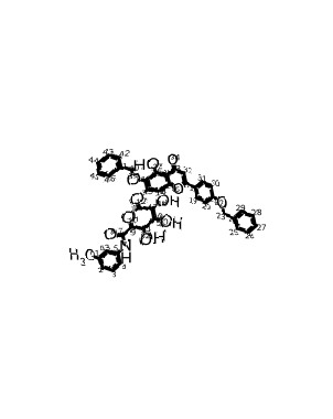 Cc1cccc(NC(=O)C2OC(Oc3cc4oc(-c5ccc(OCc6ccccc6)cc5)cc(=O)c4c(O)c3OCc3ccccc3)C(O)C(O)C2O)c1